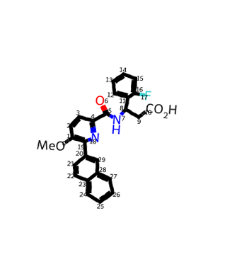 COc1ccc(C(=O)NC(CC(=O)O)c2ccccc2F)nc1-c1ccc2ccccc2c1